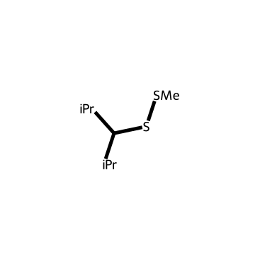 CSSC(C(C)C)C(C)C